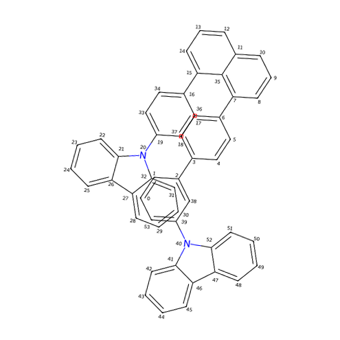 c1cc(-c2ccc(-c3cccc4cccc(-c5ccc(-n6c7ccccc7c7ccccc76)cc5)c34)cc2)cc(-n2c3ccccc3c3ccccc32)c1